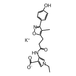 CCn1cc(NC(=O)CCc2onc(-c3ccc(O)cc3)c2C)c(C(=O)[O-])c1.[K+]